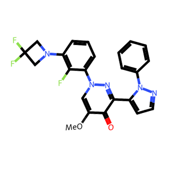 COc1cn(-c2cccc(N3CC(F)(F)C3)c2F)nc(-c2ccnn2-c2ccccc2)c1=O